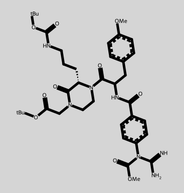 COC(=O)N(C(=N)N)c1ccc(C(=O)NC(Cc2ccc(OC)cc2)C(=O)N2CCN(CC(=O)OC(C)(C)C)C(=O)[C@@H]2CCCNC(=O)OC(C)(C)C)cc1